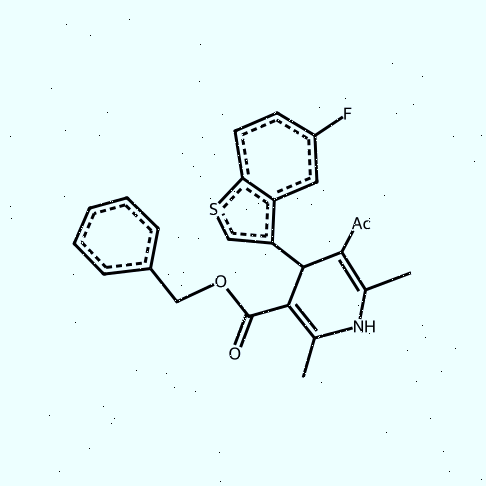 CC(=O)C1=C(C)NC(C)=C(C(=O)OCc2ccccc2)C1c1csc2ccc(F)cc12